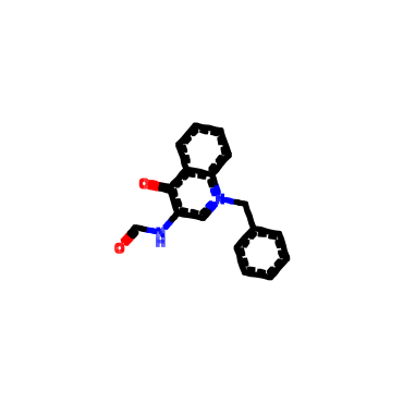 O=CNc1cn(Cc2ccccc2)c2ccccc2c1=O